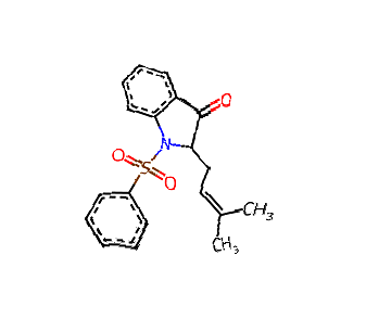 CC(C)=CCC1C(=O)c2ccccc2N1S(=O)(=O)c1ccccc1